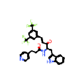 O=C(CCc1ccncc1)NC(Cc1c[nH]c2ccccc12)C(=O)CCc1cc(C(F)(F)F)cc(C(F)(F)F)c1